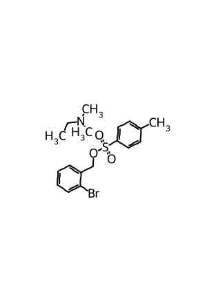 CCN(C)C.Cc1ccc(S(=O)(=O)OCc2ccccc2Br)cc1